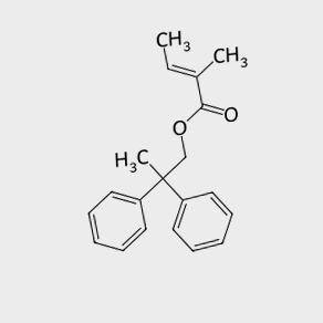 CC=C(C)C(=O)OCC(C)(c1ccccc1)c1ccccc1